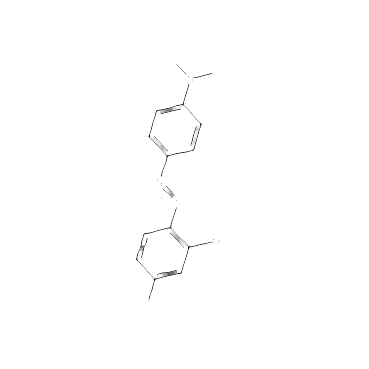 Cc1ccc(/N=N/c2ccc(N(C)C)cc2)c([N+](=O)[O-])c1